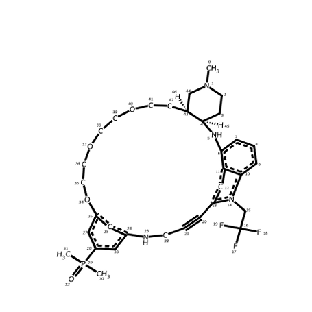 CN1CC[C@H]2Nc3cccc4c3cc(n4CC(F)(F)F)C#CCNc3cc(cc(P(C)(C)=O)c3)OCCOCCOCC[C@H]2C1